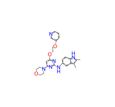 Cc1[nH]c2ccc(Nc3nc(OCCOc4cccnc4)cc(N4CCOCC4)n3)cc2c1C